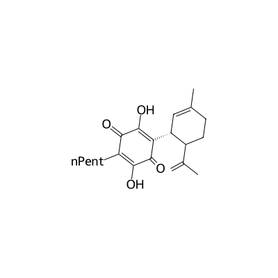 C=C(C)C1CCC(C)=C[C@H]1C1=C(O)C(=O)C(CCCCC)=C(O)C1=O